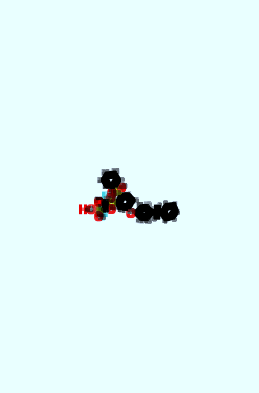 CC(C)(c1ccccc1)c1ccc(Oc2ccc(S(=O)(=O)c3ccccc3)c(S(=O)(=O)C(F)(F)C(F)(F)S(=O)(=O)O)c2)cc1